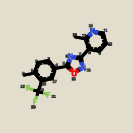 Cc1ccc(-c2nc(-c3cccnc3C)no2)cc1C(F)(F)F